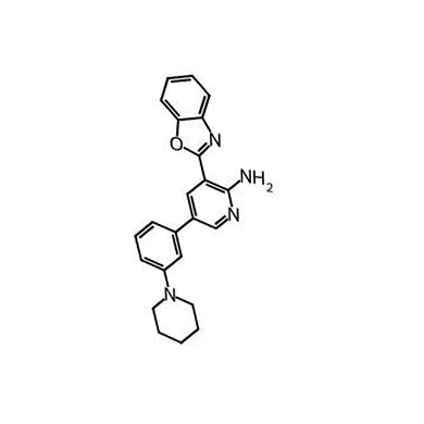 Nc1ncc(-c2cccc(N3CCCCC3)c2)cc1-c1nc2ccccc2o1